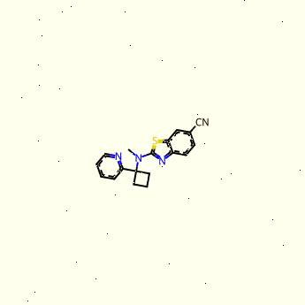 CN(c1nc2ccc(C#N)cc2s1)C1(c2ccccn2)CCC1